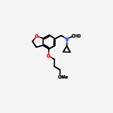 COCCCOc1cc(CN(C=O)C2CC2)cc2c1CCO2